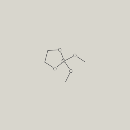 CO[Si]1(OC)OCCO1